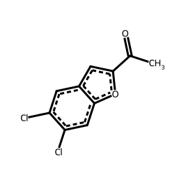 CC(=O)c1cc2cc(Cl)c(Cl)cc2o1